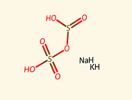 O=S(O)OS(=O)(=O)O.[KH].[NaH]